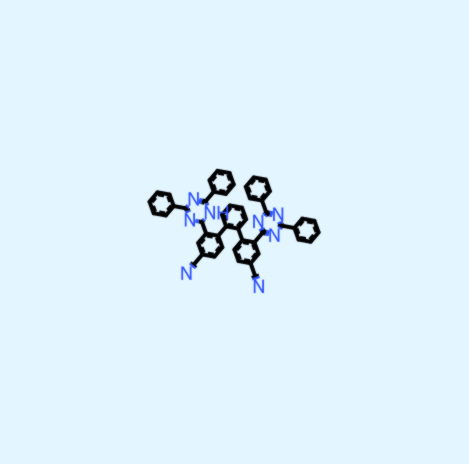 N#Cc1ccc(-c2ccccc2-c2ccc(C#N)cc2C2N=C(c3ccccc3)N=C(c3ccccc3)N2)c(-c2nc(-c3ccccc3)nc(-c3ccccc3)n2)c1